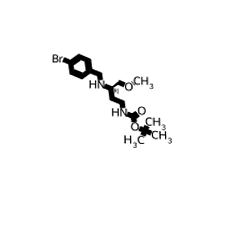 COC[C@@H](CCNC(=O)OC(C)(C)C)NCc1ccc(Br)cc1